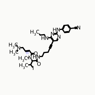 CCCNc1nc(Nc2ccc(C#N)cc2)ncc1C#CCCCNC(=O)C(C(C)I)N(C)C(=O)/C=C/CN(C)C